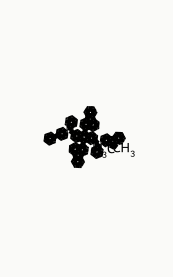 CC1(C)c2ccccc2-c2ccc(N(c3ccccc3)c3ccc4c(-c5ccc6c7c(cccc57)-c5ccccc5-6)c5cc(N(c6ccccc6)c6ccc(-c7ccccc7)cc6)ccc5c(-c5ccc6c7c(cccc57)-c5ccccc5-6)c4c3)cc21